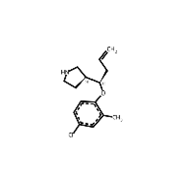 C=CC[C@@H](Oc1ccc(Cl)cc1C)[C@H]1CCNC1